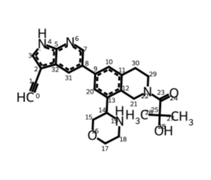 C#Cc1c[nH]c2ncc(-c3cc4c(c(C5COCCN5)c3)CN(C(=O)C(C)(C)O)CC4)cc12